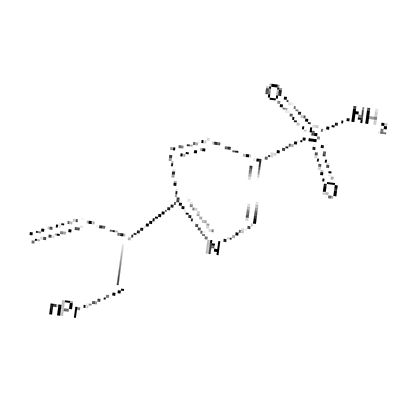 C=CC(=CCCC)c1ccc(S(N)(=O)=O)cn1